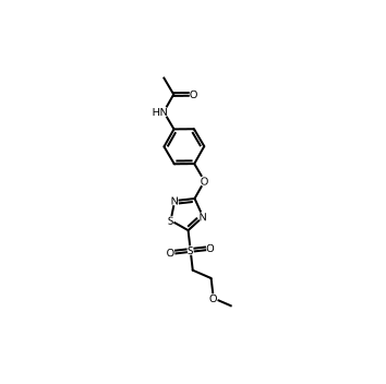 COCCS(=O)(=O)c1nc(Oc2ccc(NC(C)=O)cc2)ns1